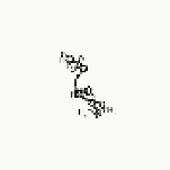 Cc1nnc2n1-c1sc(C#Cc3cnc(CCCC#Cc4cccc5c4C(=O)N(C4CCC(=O)NC4=O)C5=O)[nH]3)c(Cc3ccccc3)c1CO[C@H]2C